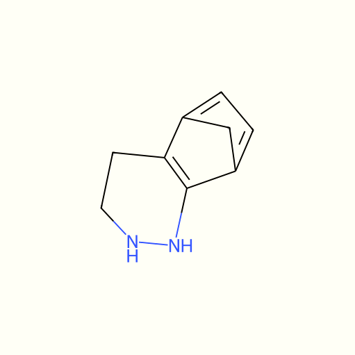 C1=C2CC(=C1)C1=C2CCNN1